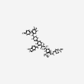 C[C@H](CN1CC[PH](C)(O)CC1)Nc1ccc(S(=O)(=O)NC(=O)c2ccc(N3CCN(CC4=C(c5ccc(Cl)cc5)CC(C)(C)CC4)CC3)cc2Oc2cnc3[nH]ccc3c2)cc1[N+](=O)[O-]